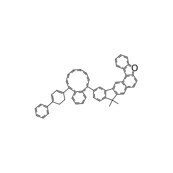 CC1(C)c2ccc(-c3ccccccc(C4=CC=C(c5ccccc5)CC4)c4ccccc34)cc2-c2cc3c(ccc4oc5ccccc5c43)cc21